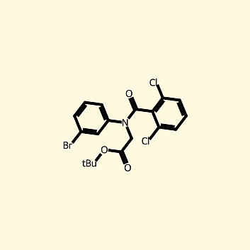 CC(C)(C)OC(=O)CN(C(=O)c1c(Cl)cccc1Cl)c1cccc(Br)c1